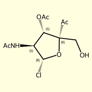 CC(=O)N[C@@H]1[C@@H](Cl)O[C@@](CO)(C(C)=O)[C@H]1OC(C)=O